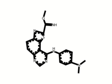 COC(=N)c1nc2ccc3ncnc(Nc4ccc(N(C)C)cc4)c3c2s1